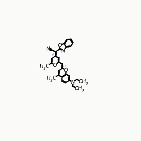 CCN(CC)c1ccc2c(c1)O/C(=C/C1=CC(=C(/C#N)c3nc4ccccc4o3)/C=C(C)O1)C=C2C